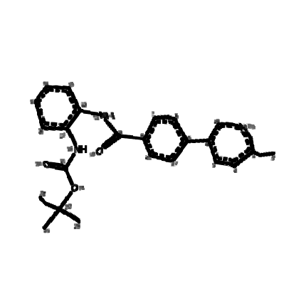 Cc1ccc(-c2ccc(C(=O)Nc3ccccc3NC(=O)OC(C)(C)C)cc2)cn1